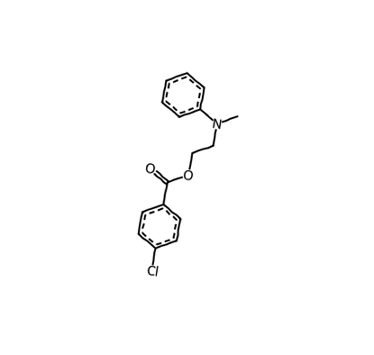 CN(CCOC(=O)c1ccc(Cl)cc1)c1ccccc1